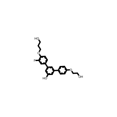 OCCCOc1ccc(-c2cc(O)cc(-c3ccc(OCCO)cc3)c2)cc1F